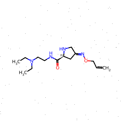 C=CCON=C1CN[C@H](C(=O)NCCN(CC)CC)C1